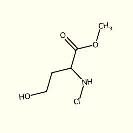 COC(=O)C(CCO)NCl